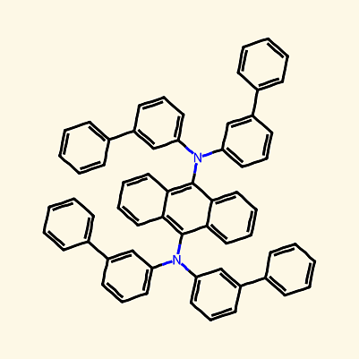 c1ccc(-c2cccc(N(c3cccc(-c4ccccc4)c3)c3c4ccccc4c(N(c4cccc(-c5ccccc5)c4)c4cccc(-c5ccccc5)c4)c4ccccc34)c2)cc1